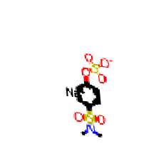 CN(C)S(=O)(=O)c1ccc(OS(=O)(=O)[O-])cc1.[Na+]